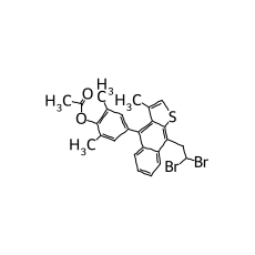 CC(=O)Oc1c(C)cc(-c2c3ccccc3c(CC(Br)Br)c3scc(C)c23)cc1C